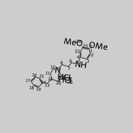 COc1ccc(NCCCN2CCC(Cc3ccccc3)CC2)cc1OC.Cl.Cl